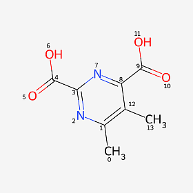 Cc1nc(C(=O)O)nc(C(=O)O)c1C